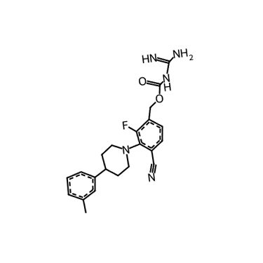 Cc1cccc(C2CCN(c3c(C#N)ccc(COC(=O)NC(=N)N)c3F)CC2)c1